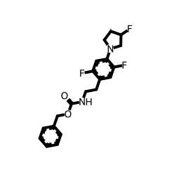 O=C(NCCc1cc(F)c(N2C[CH]C(F)C2)cc1F)OCc1ccccc1